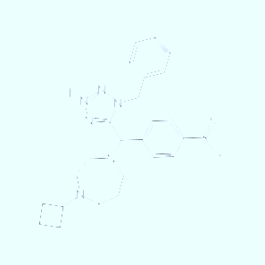 O=C([O-])c1ccc(C(c2nnnn2Cc2ccccc2)N2CCCN(C3CCC3)CC2)cc1.[Li+]